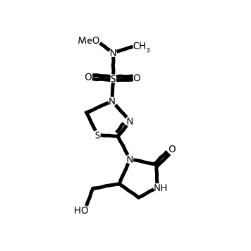 CON(C)S(=O)(=O)N1CSC(N2C(=O)NCC2CO)=N1